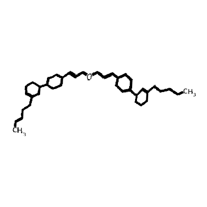 CCCCCC1CCCC(C2CCC(/C=C/COC/C=C/C3CCC(C4CCCC(CCCCC)C4)CC3)CC2)C1